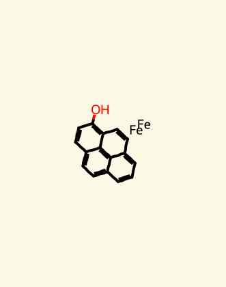 Oc1ccc2ccc3cccc4ccc1c2c34.[Fe].[Fe]